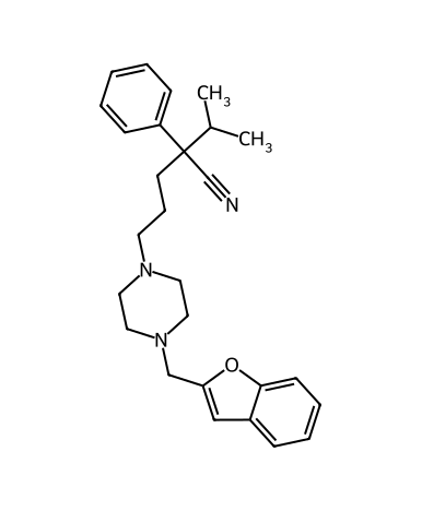 CC(C)C(C#N)(CCCN1CCN(Cc2cc3ccccc3o2)CC1)c1ccccc1